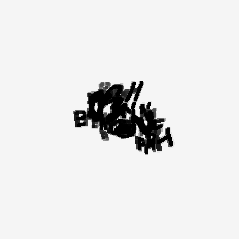 CC(C)Nc1cc(C(=O)NC2COc3ccc(Br)cc3N(C)C2=C=O)ncc1F